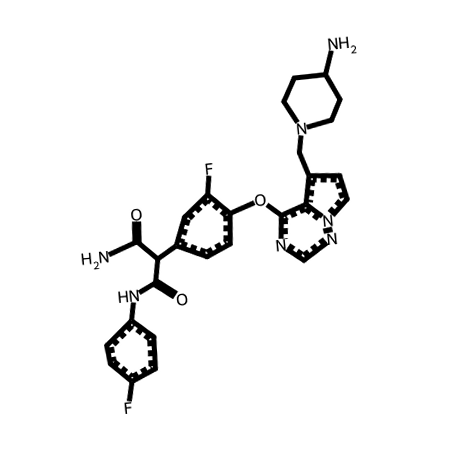 NC(=O)C(C(=O)Nc1ccc(F)cc1)c1ccc(Oc2ncnn3ccc(CN4CCC(N)CC4)c23)c(F)c1